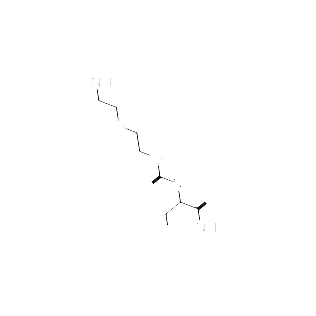 NCCOCCOC(=O)NC(CS)C(N)=O